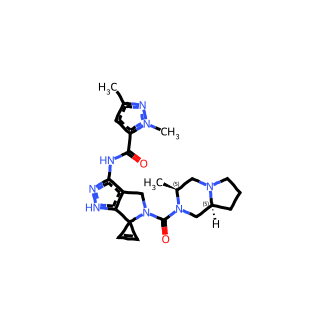 Cc1cc(C(=O)Nc2n[nH]c3c2CN(C(=O)N2C[C@@H]4CCCN4C[C@@H]2C)C32C=C2)n(C)n1